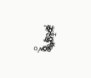 Cc1cn2cc(NC(=O)c3ccc(N4CC[C@H](OS(=O)(=O)c5ccc([N+](=O)[O-])cc5)C4)c4cn(C)nc34)cc(F)c2n1